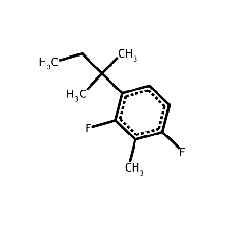 CCC(C)(C)c1ccc(F)c(C)c1F